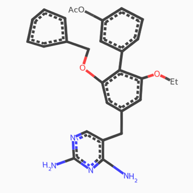 CCOc1cc(Cc2cnc(N)nc2N)cc(OCc2ccccc2)c1-c1cccc(OC(C)=O)c1